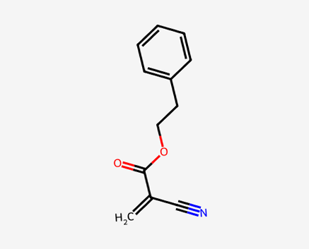 C=C(C#N)C(=O)OCCc1ccccc1